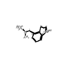 CN(C)Cc1cccc2c1CCN2